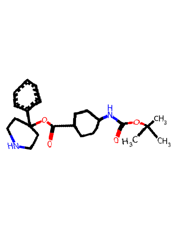 CC(C)(C)OC(=O)NC1CCC(C(=O)OC2(c3ccccc3)CCNCC2)CC1